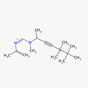 C=C(C)/N=C\N(C)C(C)C#C[Si](C)(C)C(C)(C)C